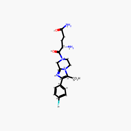 NC(=O)CC[C@H](N)C(=O)N1CCn2c(nc(-c3ccc(F)cc3)c2C(=O)O)C1